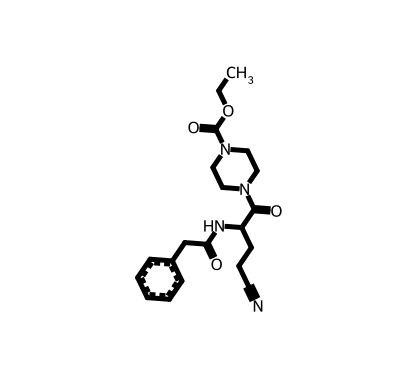 CCOC(=O)N1CCN(C(=O)C(CCC#N)NC(=O)Cc2ccccc2)CC1